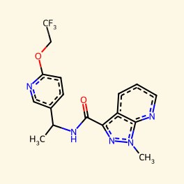 CC(NC(=O)c1nn(C)c2ncccc12)c1ccc(OCC(F)(F)F)nc1